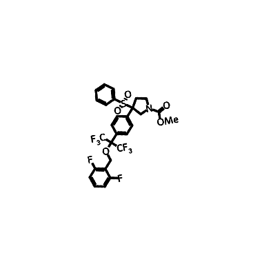 COC(=O)N1CCC(c2ccc(C(OCc3c(F)cccc3F)(C(F)(F)F)C(F)(F)F)cc2)(S(=O)(=O)c2ccccc2)C1